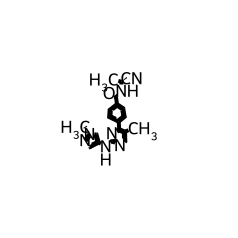 Cc1cnc(Nc2cnn(C)c2)nc1-c1ccc(C(=O)N[C@H](C)C#N)cc1